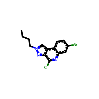 CCCCn1cc2c(n1)c(Cl)nc1cc(Br)ccc12